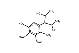 CCCCCCCCCc1c(O)cc(N(C(C)O)C(C)O)c(C)c1CCCCCCCCC